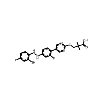 CC(C)(COc1ncc(-c2ccc(NNc3ccc(F)cc3S)cc2F)cn1)C(=O)O